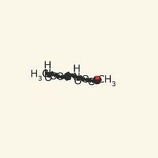 CNC(=O)COCCOCc1ccc(CCNC(=O)CCOCCOc2ccc(C)cc2)cc1